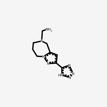 NCN1CCCn2nc(-c3nnn[nH]3)cc2C1